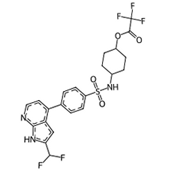 O=C(OC1CCC(NS(=O)(=O)c2ccc(-c3ccnc4[nH]c(C(F)F)cc34)cc2)CC1)C(F)(F)F